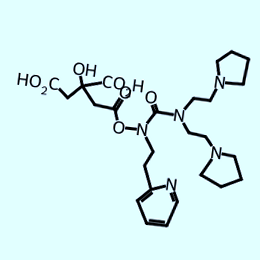 O=C(O)CC(O)(CC(=O)ON(CCc1ccccn1)C(=O)N(CCN1CCCC1)CCN1CCCC1)C(=O)O